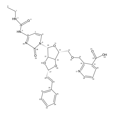 CCNC(=O)Nc1ccn([C@@H]2O[C@H](COCc3ncccc3C(=O)O)C3O[C@H](/C=C/c4ccccc4)OC32)c(=O)n1